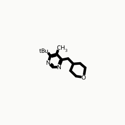 Cc1c(CC2CCOCC2)ncnc1C(C)(C)C